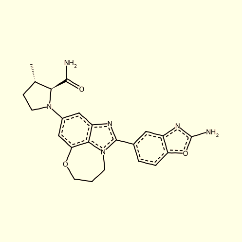 C[C@H]1CCN(c2cc3c4c(c2)nc(-c2ccc5oc(N)nc5c2)n4CCCO3)[C@@H]1C(N)=O